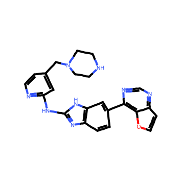 c1cc(CN2CCNCC2)cc(Nc2nc3ccc(-c4ncnc5ccoc45)cc3[nH]2)n1